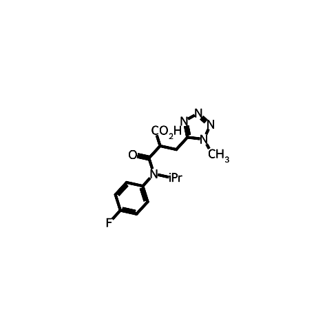 CC(C)N(C(=O)C(Cc1nnnn1C)C(=O)O)c1ccc(F)cc1